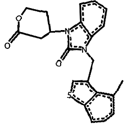 Cc1cccc2scc(Cn3c(=O)n(C4CCOC(=O)C4)c4ccccc43)c12